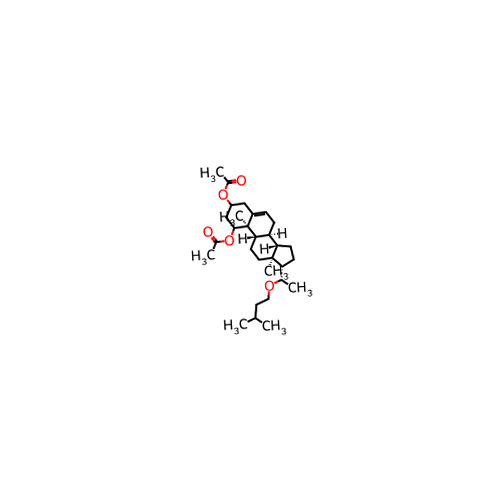 CC(=O)OC1CC2=CC[C@H]3[C@@H]4CC[C@H](C(C)OCCC(C)C)[C@@]4(C)CC[C@@H]3[C@@]2(C)C(OC(C)=O)C1